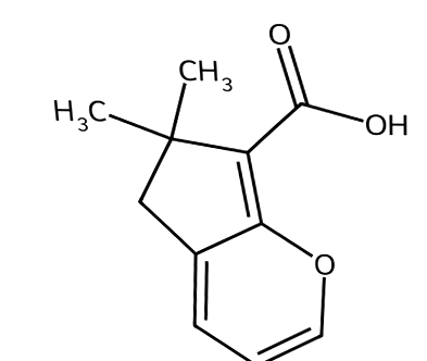 CC1(C)CC2=CC=COC2=C1C(=O)O